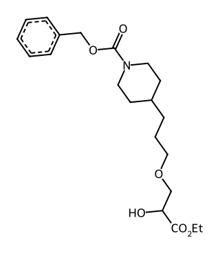 CCOC(=O)C(O)COCCCC1CCN(C(=O)OCc2ccccc2)CC1